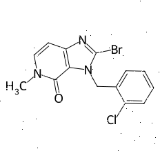 Cn1ccc2nc(Br)n(Cc3ccccc3Cl)c2c1=O